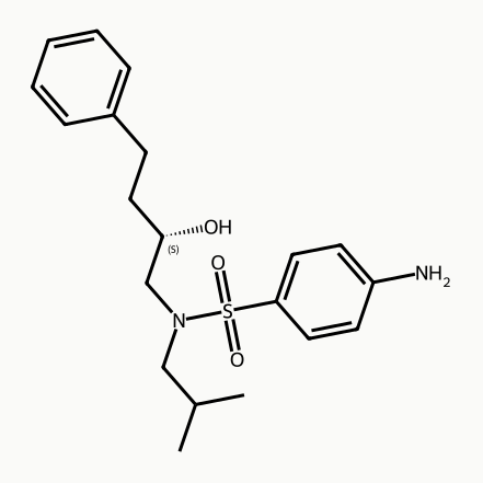 CC(C)CN(C[C@@H](O)CCc1ccccc1)S(=O)(=O)c1ccc(N)cc1